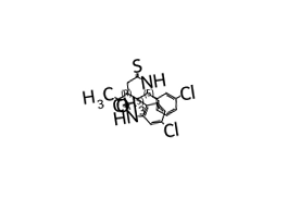 CC(C)[C@H]1CC(=S)N[C@@H](c2cccc(Cl)c2)[C@]12C(=O)Nc1cc(Cl)ccc12